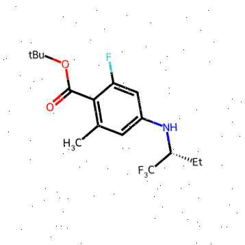 CC[C@@H](Nc1cc(C)c(C(=O)OC(C)(C)C)c(F)c1)C(F)(F)F